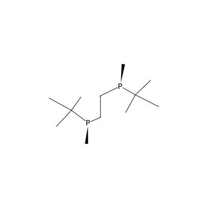 C[P@](CC[P@@](C)C(C)(C)C)C(C)(C)C